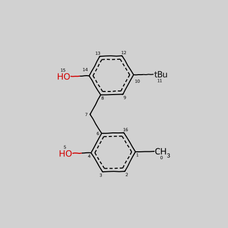 Cc1ccc(O)c(Cc2cc(C(C)(C)C)ccc2O)c1